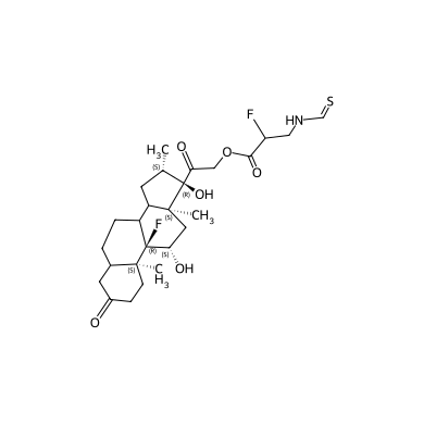 C[C@H]1CC2C3CCC4CC(=O)CC[C@]4(C)[C@@]3(F)[C@@H](O)C[C@]2(C)[C@@]1(O)C(=O)COC(=O)C(F)CNC=S